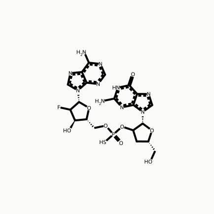 Nc1nc2c(ncn2[C@@H]2O[C@H](CO)CC2OP(=O)(S)OC[C@H]2O[C@@H](n3cnc4c(N)ncnc43)C(F)[C@@H]2O)c(=O)[nH]1